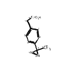 O=C(O)Cc1ccc(C2(C(F)(F)F)N=N2)cc1